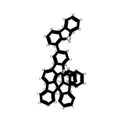 C1=CC2c3ccccc3C3(c4ccccc4-c4ccc5c6cc(-c7cccc8c7oc7ccccc78)ccc6n(-c6ccccc6)c5c43)C2C=C1